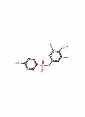 O=Cc1ccc(S(=O)(=O)Nc2cc(F)c(C(=O)O)c(F)c2)cc1